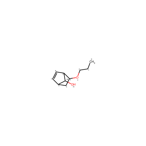 CCCOC1CC2C=CC1C2O